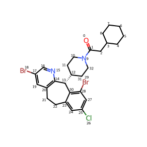 O=C(CC1CCCCC1)N1CCC([C@H]2c3ncc(Br)cc3CCc3cc(Cl)cc(Br)c32)CC1